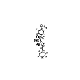 Cc1ccc(S(=O)(=O)C(CC#Cc2ccccc2)C(=O)O)cc1